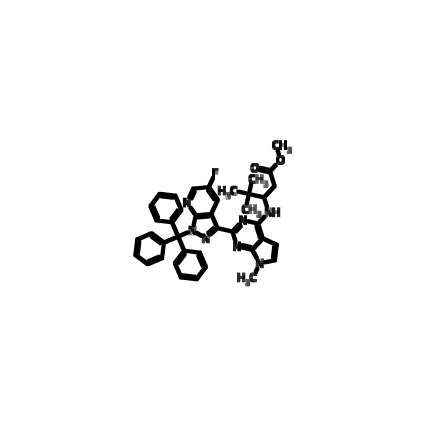 COC(=O)CC(Nc1nc(-c2nn(C(c3ccccc3)(c3ccccc3)c3ccccc3)c3ncc(F)cc23)nc2c1ccn2C)C(C)(C)C